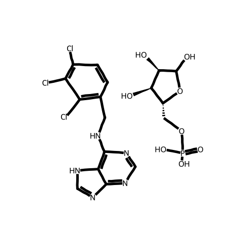 Clc1ccc(CNc2ncnc3nc[nH]c23)c(Cl)c1Cl.O=P(O)(O)OC[C@H]1OC(O)[C@H](O)[C@@H]1O